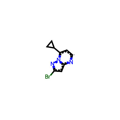 Brc1cc2n[c]cc(C3CC3)n2n1